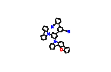 N#Cc1cc(-c2cc(-n3c4ccccc4c4ccccc43)cc(-n3c4ccccc4c4c5oc6ccccc6c5ccc43)c2)cc(-c2ccccc2C#N)c1